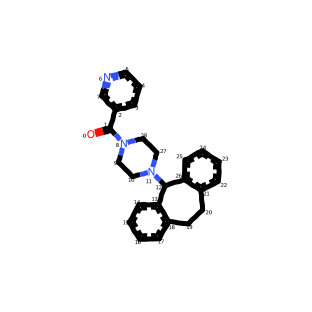 O=C(c1cccnc1)N1CCN(C2c3ccccc3CCc3ccccc32)CC1